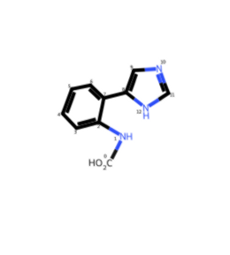 O=C(O)Nc1ccccc1-c1cnc[nH]1